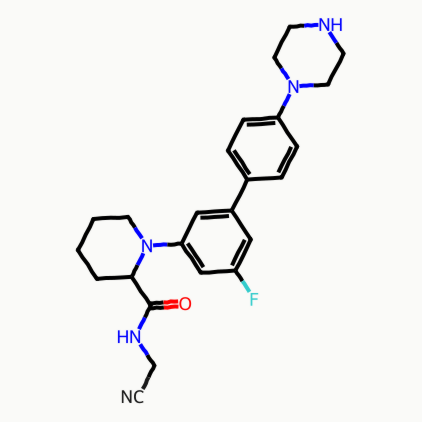 N#CCNC(=O)C1CCCCN1c1cc(F)cc(-c2ccc(N3CCNCC3)cc2)c1